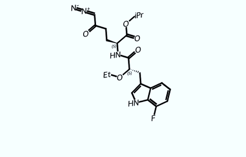 CCO[C@@H](Cc1c[nH]c2c(F)cccc12)C(=O)N[C@@H](CCC(=O)C=[N+]=[N-])C(=O)OC(C)C